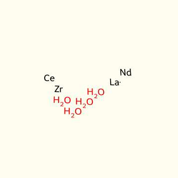 O.O.O.O.[Ce].[La].[Nd].[Zr]